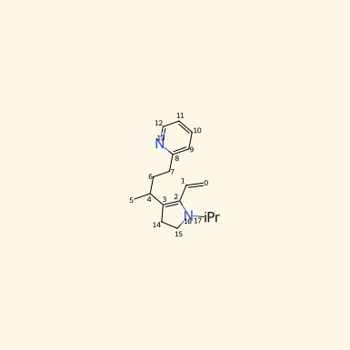 C=CC1=C(C(C)CCc2ccccn2)CCN1C(C)C